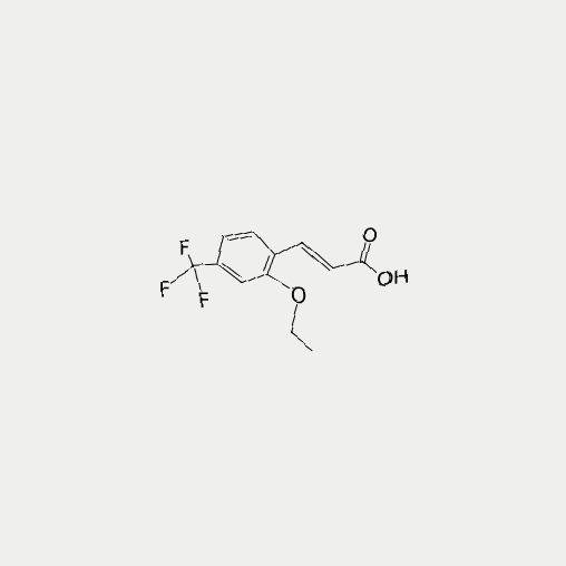 CCOc1cc(C(F)(F)F)ccc1C=CC(=O)O